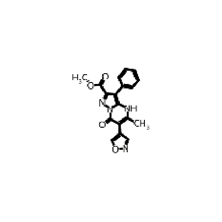 COC(=O)c1nn2c(=O)c(-c3cnoc3)c(C)[nH]c2c1-c1ccccc1